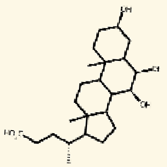 CC[C@@H]1C2C[C@H](O)CCC2(C)C2CCC3(C)C(CCC3[C@H](C)CCC(=O)O)C2[C@@H]1O